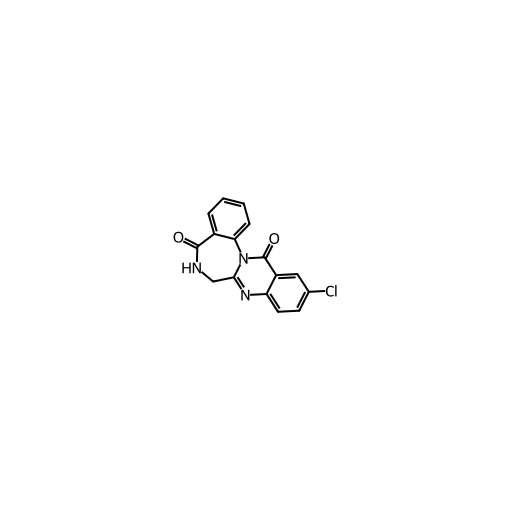 O=C1NCc2nc3ccc(Cl)cc3c(=O)n2-c2ccccc21